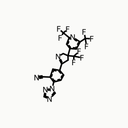 N#Cc1cc(C2=NCC(c3cc(C(F)(F)F)nc(C(F)(F)F)c3)(C(F)(F)F)C2)ccc1-n1cncn1